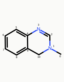 CN1C=Nc2ccccc2C1